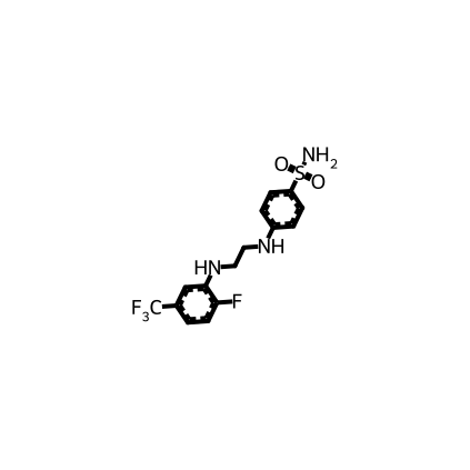 NS(=O)(=O)c1ccc(NCCNc2cc(C(F)(F)F)ccc2F)cc1